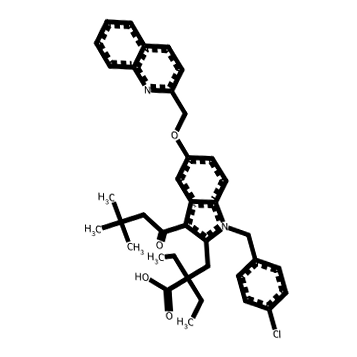 CCC(CC)(Cc1c(C(=O)CC(C)(C)C)c2cc(OCc3ccc4ccccc4n3)ccc2n1Cc1ccc(Cl)cc1)C(=O)O